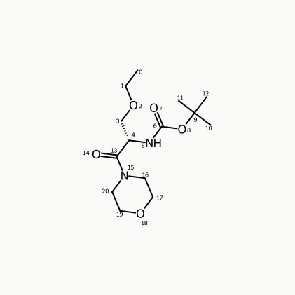 CCOC[C@H](NC(=O)OC(C)(C)C)C(=O)N1CCOCC1